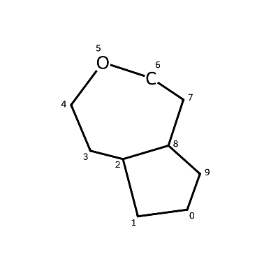 C1CC2CCOCCC2C1